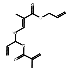 C=CCOC(=O)C(C)=CNC(C=C)OC(=O)C(=C)C